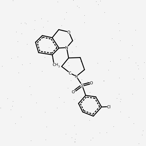 Cc1cccc2c1N(C1CCN(S(=O)(=O)c3cccc(Cl)c3)CC1)COC2